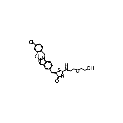 O=C1N=C(NCCOCCO)S/C1=C\c1ccc2c(cnn2Cc2ccc(Cl)cc2Cl)c1